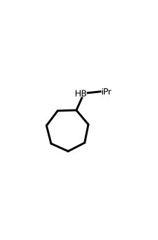 CC(C)BC1CCCCCC1